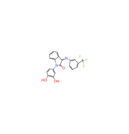 O=C1C(=Nc2cccc(C(F)(F)F)c2)c2ccccc2N1c1ccc(O)c(O)c1